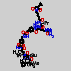 CN[C@H](C(=O)N[C@H](C(=O)N(C)[C@H](/C=C(\C)C(=O)NS(=O)(=O)c1ccc(CNC(=O)OCc2ccc(NC(=O)[C@H](CCCNC(N)=O)NC(=O)[C@@H](NC(=O)CCCCCN3C(=O)CC(C4CC4)C3=O)C(C)C)cc2)cc1)C(C)C)C(C)(C)C)C(C)(C)c1ccccc1